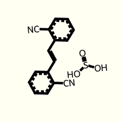 N#Cc1ccccc1C=Cc1ccccc1C#N.O=S(O)O